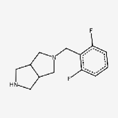 Fc1cccc(F)c1CN1CC2CNCC2C1